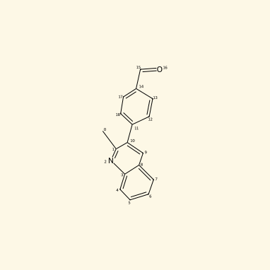 Cc1nc2ccccc2cc1-c1ccc(C=O)cc1